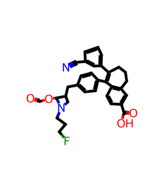 N#Cc1cccc(C2=C(c3ccc(CC4CN(CCCF)C4OC=O)cc3)c3ccc(C(=O)O)cc3CCC2)c1